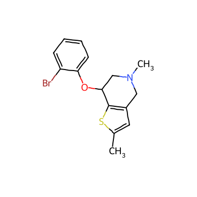 Cc1cc2c(s1)C(Oc1ccccc1Br)CN(C)C2